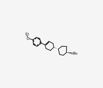 CCCC[C@H]1CC[C@H](C2CC=C(c3ccc(OCC)cc3)CC2)CC1